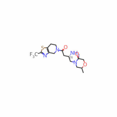 CC1CN(C[C@@H](N)CC(=O)N2CCc3sc(C(F)(F)F)nc3C2)C(=O)CO1